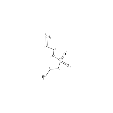 C=CCOS(=O)(=O)CCC(C)C